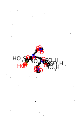 O=C(CCCCCN1/C(=C/C=C/C=C/c2oc3c(S(=O)(=O)O)c4c(cc3[n+]2CCCCCC(=O)ON2C(=O)CCC2=O)oc2c(S(=O)(=O)O)cc(S(=O)(=O)O)cc24)Oc2c1cc1oc3c(S(=O)(=O)O)cc(SOOO)cc3c1c2S(=O)(=O)O)ON1C(=O)CCC1=O